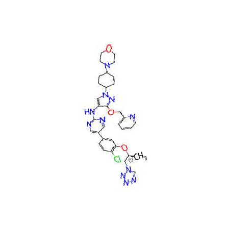 C[C@@H](Cn1cnnn1)Oc1cc(-c2cnc(Nc3cn(C4CCC(N5CCOCC5)CC4)nc3OCc3ccccn3)nc2)ccc1Cl